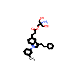 Cc1cccc(-n2cc(CCc3ccccc3)c3cc(CCC(=O)OCC(N)(CO)CO)ccc32)c1